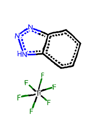 [F][Ti]([F])([F])([F])([F])[F].c1ccc2[nH]nnc2c1